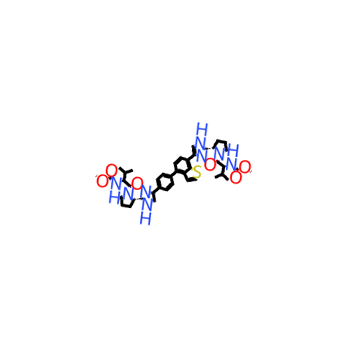 COC(=O)N[C@H](C(=O)N1CCC[C@H]1C1=NC(c2ccc(-c3ccc(-c4c[nH]c([C@@H]5CCCN5C(=O)[C@@H](NC(=O)OC)C(C)C)n4)c4sccc34)cc2)CN1)C(C)C